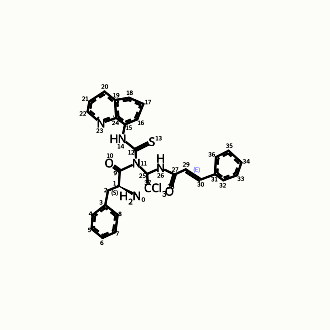 N[C@@H](Cc1ccccc1)C(=O)N(C(=S)Nc1cccc2cccnc12)C(NC(=O)/C=C/c1ccccc1)C(Cl)(Cl)Cl